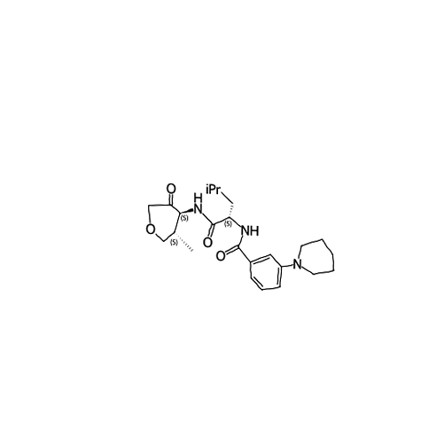 CC(C)C[C@H](NC(=O)c1cccc(N2CCCCC2)c1)C(=O)N[C@@H]1C(=O)COC[C@H]1C